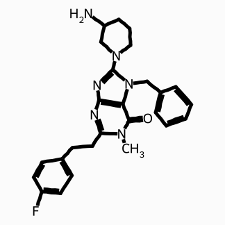 Cn1c(CCc2ccc(F)cc2)nc2nc(N3CCCC(N)C3)n(Cc3ccccc3)c2c1=O